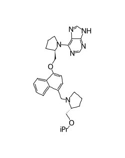 CC(C)OC[C@H]1CCCN1Cc1ccc(OC[C@H]2CCCN2c2ncnc3[nH]cnc23)c2ccccc12